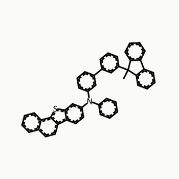 CC1(c2cccc(-c3cccc(N(c4ccccc4)c4ccc5c(c4)sc4c6ccccc6ccc54)c3)c2)c2ccccc2-c2ccccc21